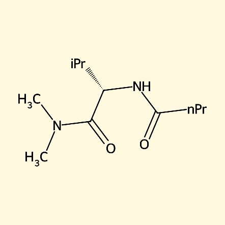 CCCC(=O)N[C@H](C(=O)N(C)C)C(C)C